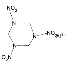 O=[N+]([O-])N1CN([N+](=O)[O-])CN([N+](=O)[O-])C1.[Al+3]